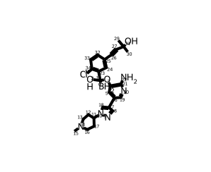 BC(O)(Oc1cc(-c2cnn(C3CCN(C)CC3)c2)cnc1N)c1cc(C#CC(C)(C)O)ccc1Cl